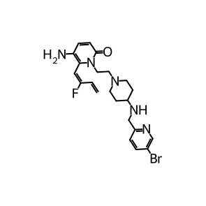 C=C/C(F)=C\c1c(N)ccc(=O)n1CCN1CCC(NCc2ccc(Br)cn2)CC1